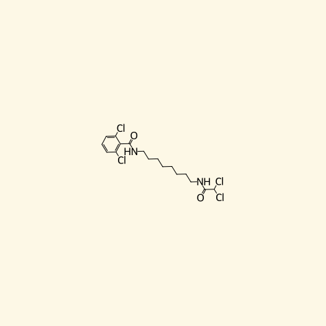 O=C(NCCCCCCCCNC(=O)C(Cl)Cl)c1c(Cl)cccc1Cl